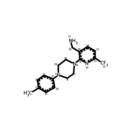 Cc1ccc(N2CCN(c3nc(C(F)(F)F)ccc3CN)CC2)cc1